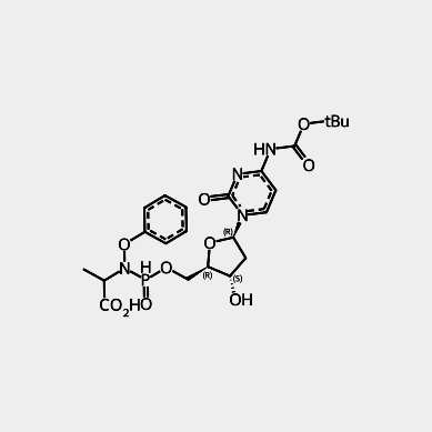 CC(C(=O)O)N(Oc1ccccc1)[PH](=O)OC[C@H]1O[C@@H](n2ccc(NC(=O)OC(C)(C)C)nc2=O)C[C@@H]1O